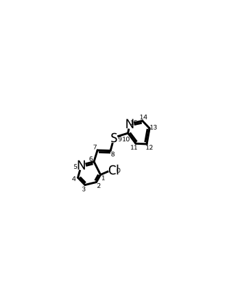 Clc1cccnc1/C=C/Sc1ccccn1